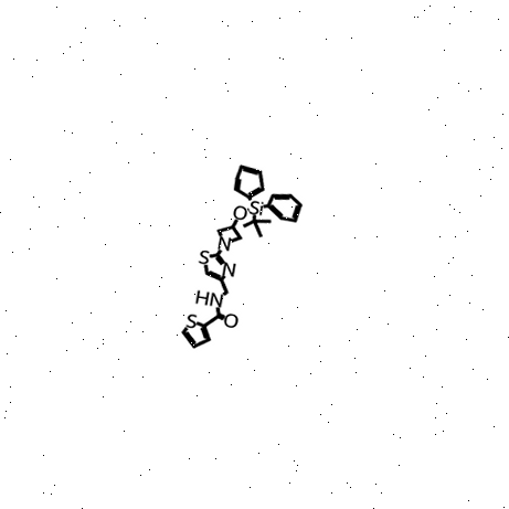 CC(C)(C)[Si](OC1CN(c2nc(CNC(=O)c3cccs3)cs2)C1)(c1ccccc1)c1ccccc1